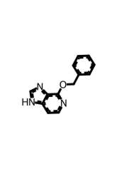 c1ccc(COc2nccc3[nH]cnc23)cc1